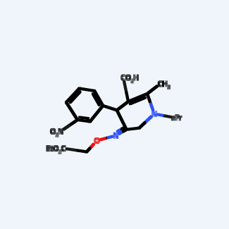 CCCN1CC(=NOCC(=O)OCC)C(c2cccc([N+](=O)[O-])c2)C(C(=O)O)=C1C